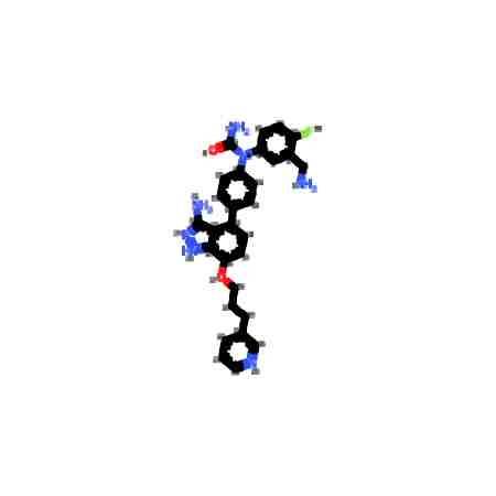 NCc1cc(N(C(N)=O)c2ccc(-c3ccc(OCCCc4cccnc4)c4[nH]nc(N)c34)cc2)ccc1F